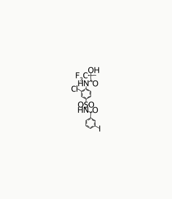 C[C@@](O)(C(=O)Nc1ccc(S(=O)(=O)NC(=O)c2cccc(I)c2)cc1Cl)C(F)(F)F